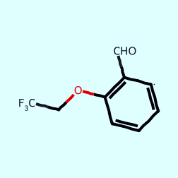 O=Cc1[c]cccc1OCC(F)(F)F